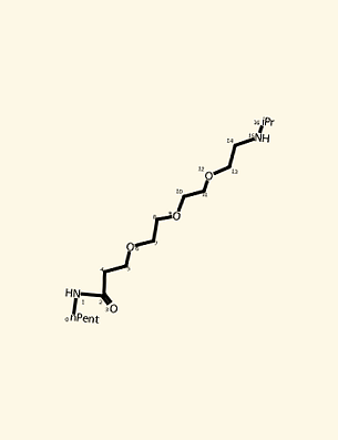 CCCCCNC(=O)CCOCCOCCOCCNC(C)C